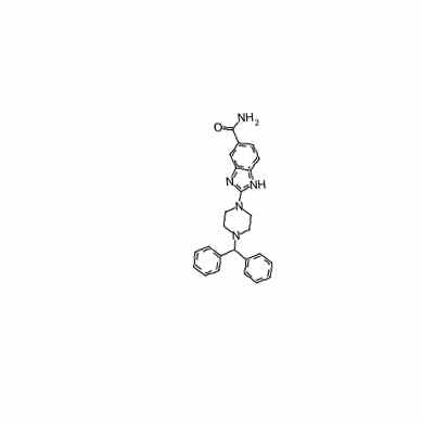 NC(=O)c1ccc2[nH]c(N3CCN(C(c4ccccc4)c4ccccc4)CC3)nc2c1